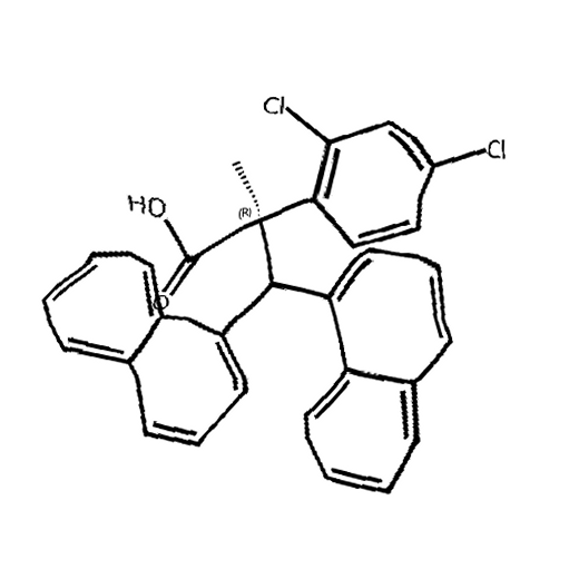 C[C@](C(=O)O)(c1ccc(Cl)cc1Cl)C(c1cccc2ccccc12)c1cccc2ccccc12